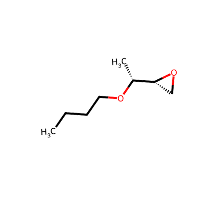 CCCCO[C@H](C)[C@H]1CO1